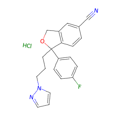 Cl.N#Cc1ccc2c(c1)COC2(CCCn1cccn1)c1ccc(F)cc1